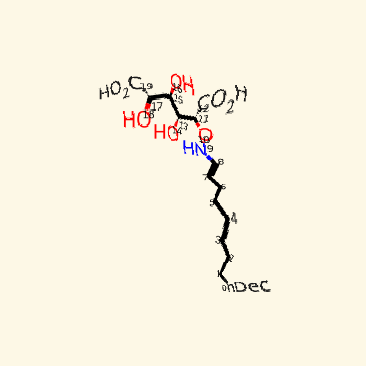 CCCCCCCCCCCCCCCC/C=C/NO[C@@H](C(=O)O)[C@@H](O)[C@H](O)[C@H](O)C(=O)O